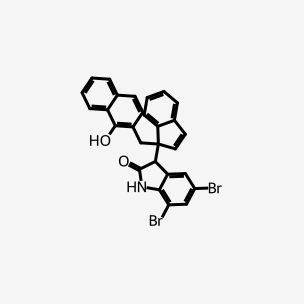 O=C1Nc2c(Br)cc(Br)cc2C1C1(Cc2ccc3ccccc3c2O)C=Cc2ccccc21